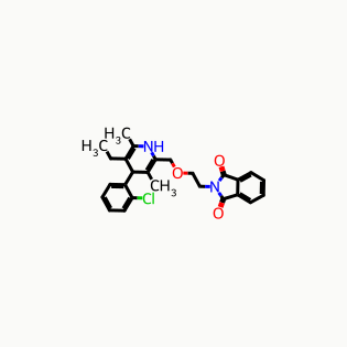 CCC1=C(C)NC(COCCN2C(=O)c3ccccc3C2=O)=C(C)C1c1ccccc1Cl